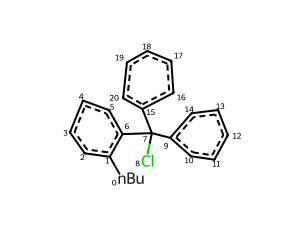 CCCCc1ccccc1C(Cl)(c1ccccc1)c1ccccc1